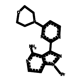 CC(C)n1nc(-c2nccc(N3CCOCC3)n2)c2c(N)nccc21